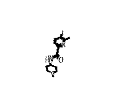 Cc1nc(C(=O)NC2CCN(C)CC2)ccc1I